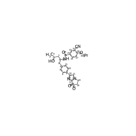 CC(O)CC(Cc1ccc(-c2cn3c(n2)S(=O)(=O)CC3)cc1)NC(=O)c1ccc(OC(C)C)c(C#N)c1